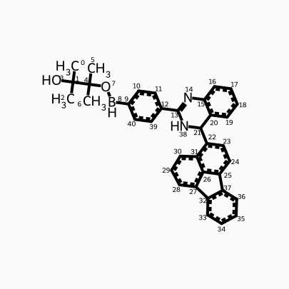 CC(C)(O)C(C)(C)OBc1ccc(C2=Nc3ccccc3C(c3ccc4c5c(cccc35)-c3ccccc3-4)N2)cc1